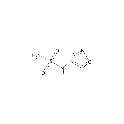 NS(=O)(=O)Nc1conn1